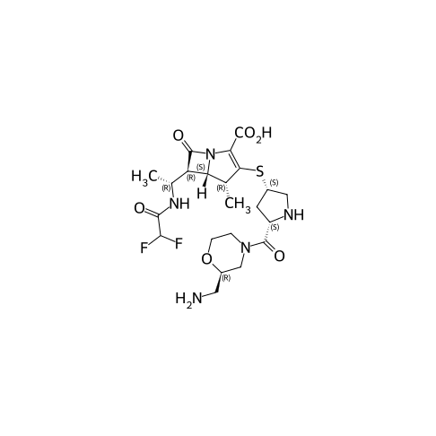 C[C@@H](NC(=O)C(F)F)[C@H]1C(=O)N2C(C(=O)O)=C(S[C@@H]3CN[C@H](C(=O)N4CCO[C@H](CN)C4)C3)[C@H](C)[C@H]12